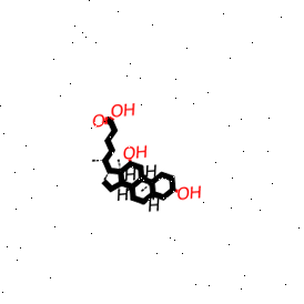 C[C@H](CCCC(=O)O)[C@H]1CC[C@H]2[C@@H]3CC[C@@H]4C[C@H](O)CC[C@]4(C)[C@H]3C[C@H](O)[C@]12C